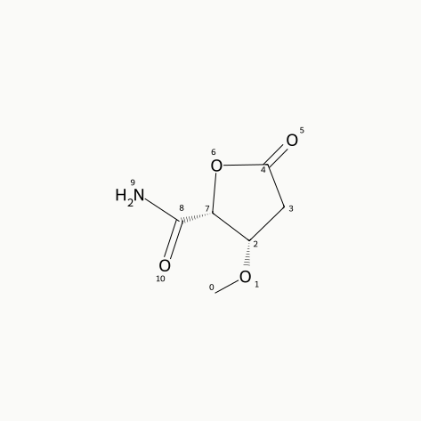 CO[C@H]1CC(=O)O[C@H]1C(N)=O